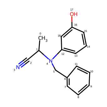 CC(C#N)N(Cc1ccccc1)c1cccc(O)c1